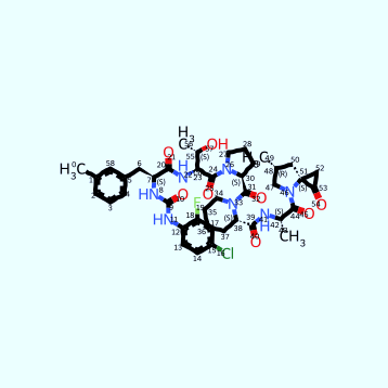 Cc1cccc(C[C@H](NC(=O)Nc2ccc(Cl)cc2F)C(=O)N[C@H](C(=O)N2CCC[C@H]2C(=O)N2CCCC[C@H]2C(=O)N[C@@H](C)C(=O)N2C[C@H](C)C[C@@]23CC3=O)[C@H](C)O)c1